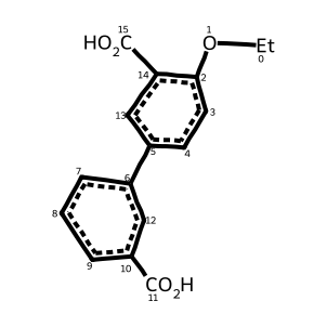 CCOc1ccc(-c2cccc(C(=O)O)c2)cc1C(=O)O